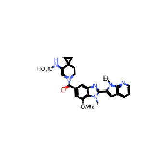 CCn1c(-c2nc3cc(C(=O)N4CCC5(CC5)C(NC(=O)O)C4)cc(OC)c3n2C)cc2cccnc21